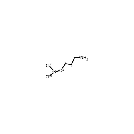 NCCCON(Cl)Cl